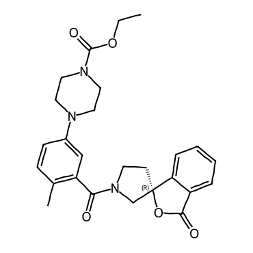 CCOC(=O)N1CCN(c2ccc(C)c(C(=O)N3CC[C@@]4(C3)OC(=O)c3ccccc34)c2)CC1